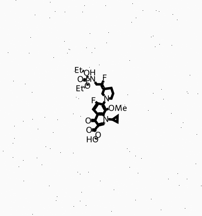 CCOP(=O)(NC/C(F)=C1/CCCN(c2c(F)cc3c(=O)c(C(=O)OO)cn(C4CC4)c3c2OC)C1)OCC